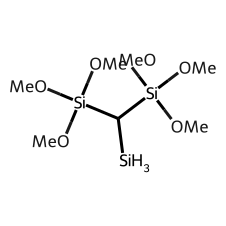 CO[Si](OC)(OC)C([SiH3])[Si](OC)(OC)OC